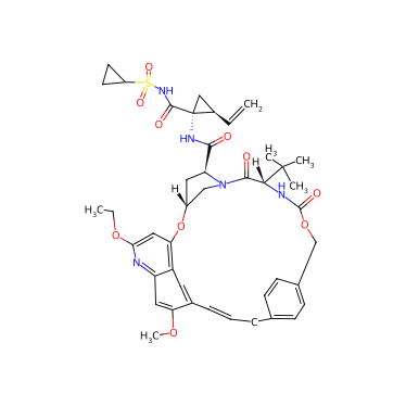 C=C[C@@H]1C[C@]1(NC(=O)[C@@H]1C[C@@H]2CN1C(=O)[C@H](C(C)(C)C)NC(=O)OCc1ccc(cc1)C/C=C/c1cc3c(cc(OCC)nc3cc1OC)O2)C(=O)NS(=O)(=O)C1CC1